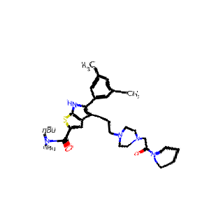 CCCCN(CCCC)C(=O)c1cc2c(CCN3CCN(CC(=O)N4CCCC4)CC3)c(-c3cc(C)cc(C)c3)[nH]c2s1